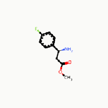 COC(=O)C[C@H](N)c1ccc(F)cc1